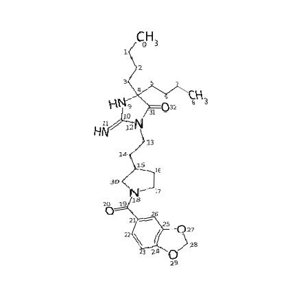 CCCCC1(CCCC)NC(=N)N(CCC2CCN(C(=O)c3ccc4c(c3)OCO4)C2)C1=O